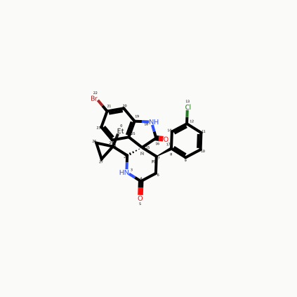 CCC1(C2NC(=O)C[C@H](c3cccc(Cl)c3)[C@@]23C(=O)Nc2cc(Br)ccc23)CC1